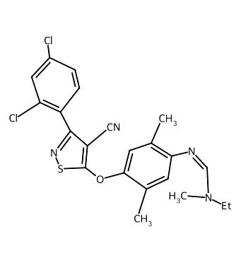 CCN(C)/C=N\c1cc(C)c(Oc2snc(-c3ccc(Cl)cc3Cl)c2C#N)cc1C